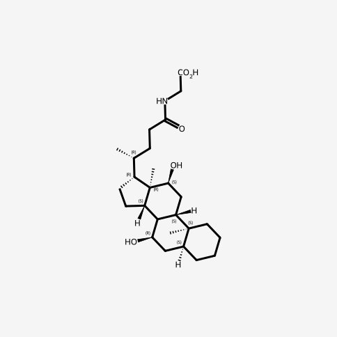 C[C@H](CCC(=O)NCC(=O)O)[C@H]1CC[C@H]2C3[C@H](O)C[C@@H]4CCCC[C@]4(C)[C@H]3C[C@H](O)[C@]12C